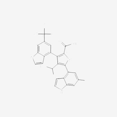 CC(C)c1c(-c2cc(F)cc3[nH]ccc23)[nH]c(C(=O)O)c1-c1cc(C(F)(F)F)cc2[nH]ccc12